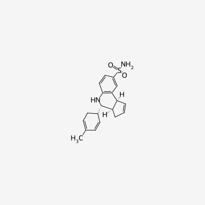 CC1=CCC([C@@H]2Nc3ccc(S(N)(=O)=O)cc3[C@H]3C=CC[C@H]32)C=C1